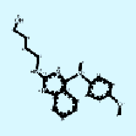 COc1ccc(N(C)c2nc(NCCCCO)nc3ccccc23)cc1